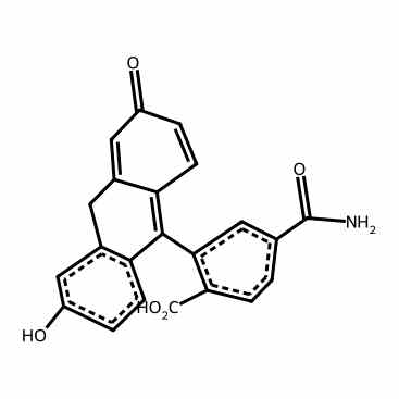 NC(=O)c1ccc(C(=O)O)c(C2=C3C=CC(=O)C=C3Cc3cc(O)ccc32)c1